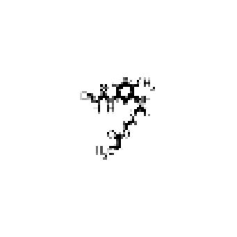 C=CC(=O)OCCOC(=O)Nc1cc(NC(=O)NCC)ccc1C